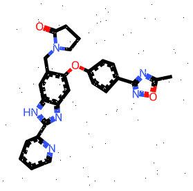 Cc1nc(-c2ccc(Oc3cc4nc(-c5ccccn5)[nH]c4cc3CN3CCCC3=O)cc2)no1